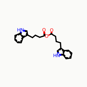 O=C(CCCc1c[nH]c2ccccc12)OC(=O)CCCc1c[nH]c2ccccc12